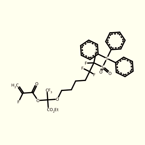 C=C(F)C(=O)OC(OCCCCC(F)(F)C(F)(F)S(=O)(=O)S(c1ccccc1)(c1ccccc1)c1ccccc1)(C(=O)OCC)C(F)(F)F